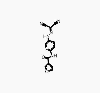 N#CC(C#N)=NNc1ccc(NC(=O)c2ccoc2)nc1